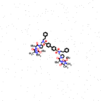 C[C@@H](C(=O)N[C@H](C(=O)N1CCC[C@H]1CN(CCc1ccccc1)S(=O)(=O)c1ccc(-c2ccc(S(=O)(=O)N(CCc3ccccc3)C[C@@H]3CCCN3C(=O)[C@@H](NC(=O)[C@H](C)N(C)C(=O)OC(C)(C)C)C(C)(C)C)cc2)cc1)C(C)(C)C)N(C)C(=O)OC(C)(C)C